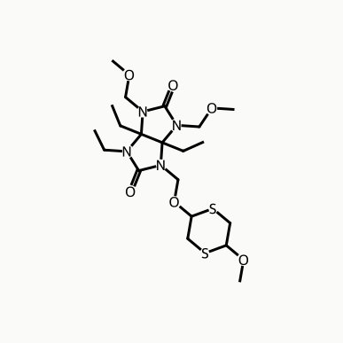 CCN1C(=O)N(COC2CSC(OC)CS2)C2(CC)N(COC)C(=O)N(COC)C12CC